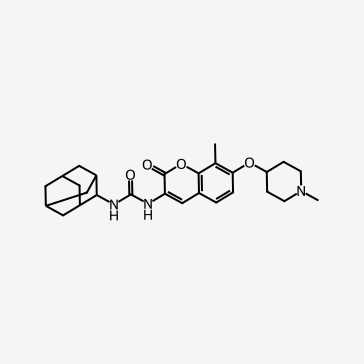 Cc1c(OC2CCN(C)CC2)ccc2cc(NC(=O)NC3C4CC5CC(C4)CC3C5)c(=O)oc12